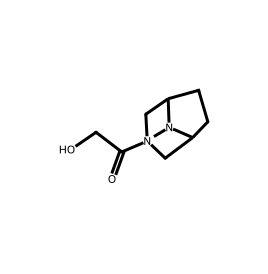 CN1C2CCC1CN(C(=O)CO)C2